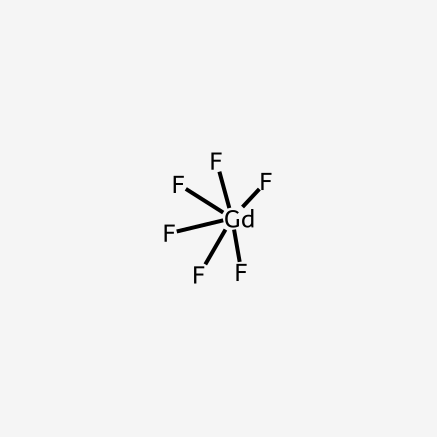 [F][Gd]([F])([F])([F])([F])[F]